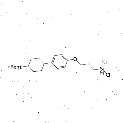 CCCCCC1CCC(c2ccc(OCCC[SiH](Cl)Cl)cc2)CC1